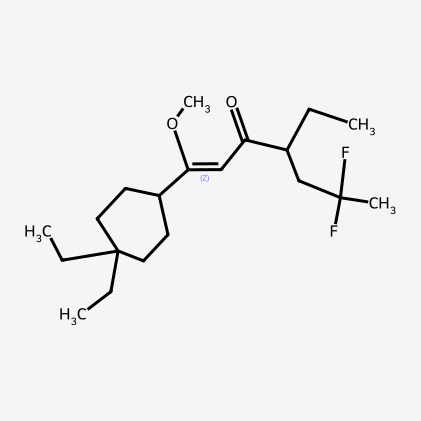 CCC(CC(C)(F)F)C(=O)/C=C(\OC)C1CCC(CC)(CC)CC1